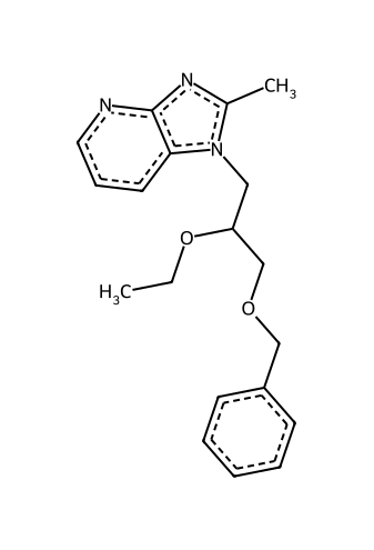 CCOC(COCc1ccccc1)Cn1c(C)nc2ncccc21